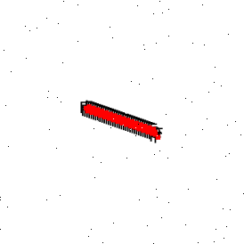 FC(F)=C(F)OC(F)(F)C(F)(F)C(F)(F)C(F)(F)C(F)(F)C(F)(F)C(F)(F)C(F)(F)C(F)(F)C(F)(F)C(F)(F)C(F)(F)C(F)(F)C(F)(F)C(F)(F)C(F)(F)C(F)(F)C(F)(F)C(F)(F)C(F)(F)C(F)(F)C(F)(F)C(F)(F)C(F)(F)C(F)(F)C(F)(F)C(F)(F)C(F)(F)C(F)(F)C(F)(F)C(F)(F)C(F)(F)I